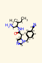 CCC(C)C(CN)NC(=O)Cc1cncn1Cc1ccc(C#N)cc1